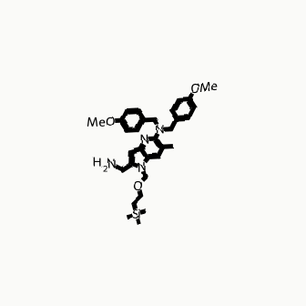 COc1ccc(CN(Cc2ccc(OC)cc2)c2nc3cc(CN)n(COCC[Si](C)(C)C)c3cc2C)cc1